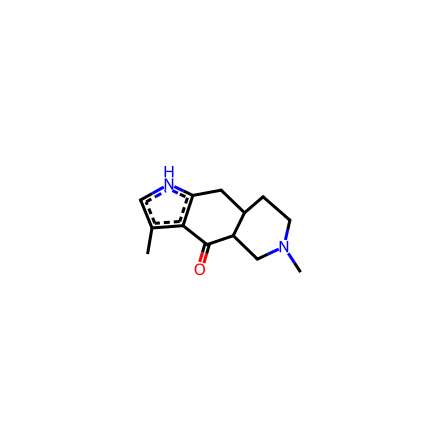 Cc1c[nH]c2c1C(=O)C1CN(C)CCC1C2